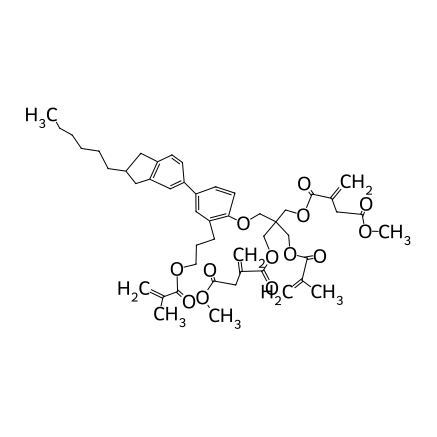 C=C(C)C(=O)OCCCc1cc(-c2ccc3c(c2)CC(CCCCCC)C3)ccc1OCC(COC(=O)C(=C)C)(COC(=O)C(=C)CC(=O)OC)COC(=O)C(=C)CC(=O)OC